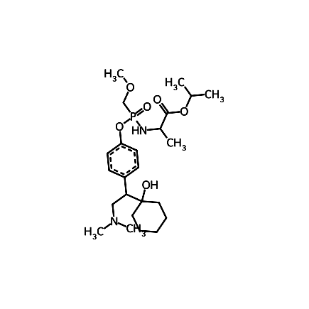 COCP(=O)(NC(C)C(=O)OC(C)C)Oc1ccc(C(CN(C)C)C2(O)CCCCC2)cc1